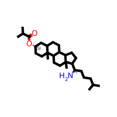 CC(C)CCC[C@@H](N)C1CCC2C3CCC4C[C@@H](OC(=O)C(C)C)CCC4(C)C3CCC21C